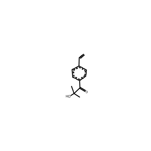 C=Cc1ccc(C(=O)C(C)(C)O)cc1